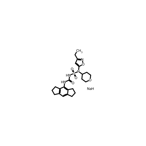 CCc1cc(N(C2CCOCC2)S(=O)(=O)NC(=O)Nc2c3c(cc4c2CCC4)CCC3)on1.[NaH]